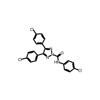 O=C(Nc1ccc(Cl)cc1)n1nc(-c2ccc(Cl)cc2)c(-c2ccc(Cl)cc2)n1